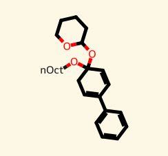 CCCCCCCCOC1(OC2CCCCO2)C=CC(c2ccccc2)=CC1